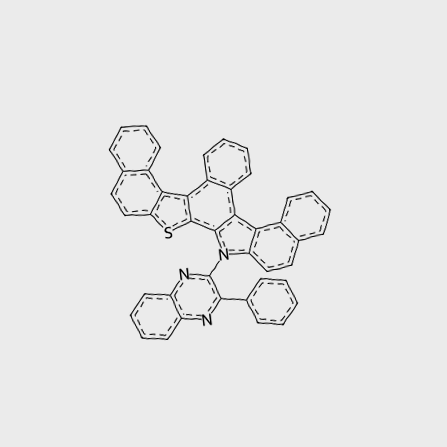 c1ccc(-c2nc3ccccc3nc2-n2c3ccc4ccccc4c3c3c4ccccc4c4c(sc5ccc6ccccc6c54)c32)cc1